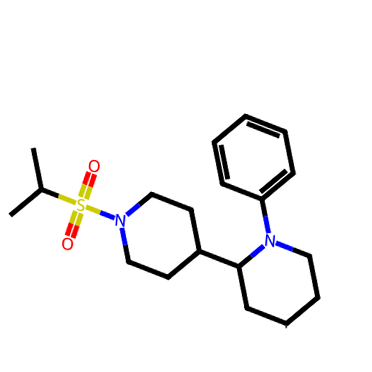 CC(C)S(=O)(=O)N1CCC(C2C[CH]CCN2c2ccccc2)CC1